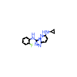 Fc1ccccc1Nc1nnc2ccc(NC3CC3)nn12